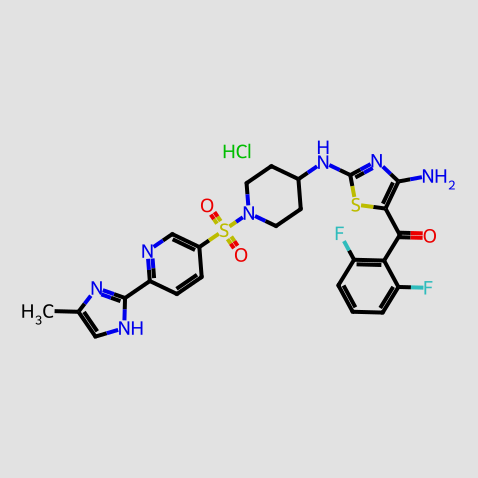 Cc1c[nH]c(-c2ccc(S(=O)(=O)N3CCC(Nc4nc(N)c(C(=O)c5c(F)cccc5F)s4)CC3)cn2)n1.Cl